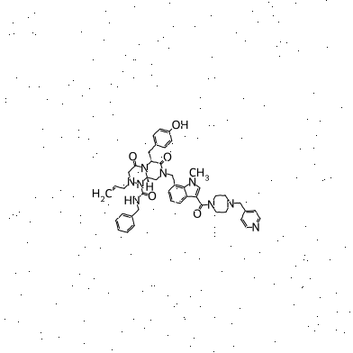 C=CCN1CC(=O)N2[C@@H](Cc3ccc(O)cc3)C(=O)N(Cc3cccc4c(C(=O)N5CCN(Cc6ccncc6)CC5)cn(C)c34)C[C@@H]2N1C(=O)NCc1ccccc1